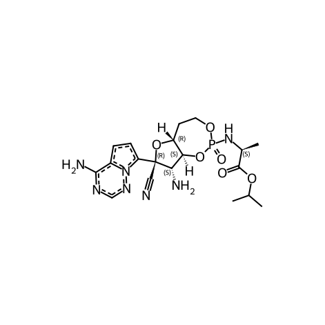 CC(C)OC(=O)[C@H](C)NP1(=O)OCC[C@H]2O[C@@](C#N)(c3ccc4c(N)ncnn34)[C@@H](N)[C@@H]2O1